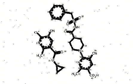 Cc1nc(Cl)c(C#N)cc1C(=O)OC1CC1.Cc1nc(N2CCC(C(=O)NS(=O)(=O)Cc3ccccc3)CC2)c(C#N)cc1C(=O)O